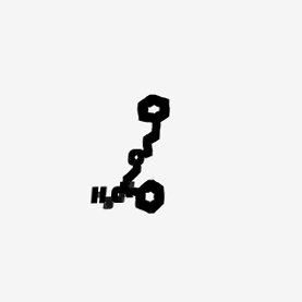 CN(CCOCC=Cc1ccccc1)c1ccccc1